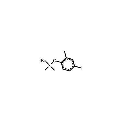 Cc1cc(I)ccc1O[Si](C)(C)C(C)(C)C